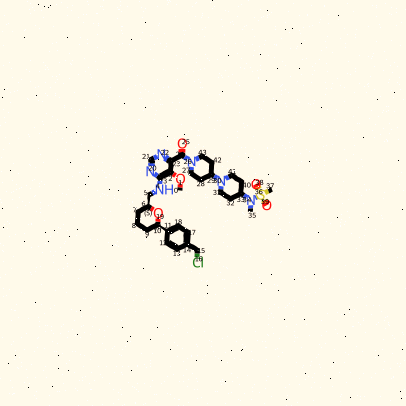 COc1c(NC[C@@H]2CCC[C@H](c3ccc(CCl)cc3)O2)ncnc1C(=O)N1CCC(N2CCC(N(C)S(C)(=O)=O)CC2)CC1